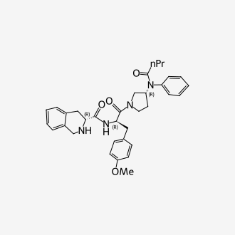 CCCC(=O)N(c1ccccc1)[C@@H]1CCN(C(=O)[C@@H](Cc2ccc(OC)cc2)NC(=O)[C@H]2Cc3ccccc3CN2)C1